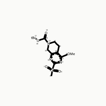 COc1nc(S(C)(=O)=O)nc2c1CCN(C(=O)OC(C)(C)C)C2